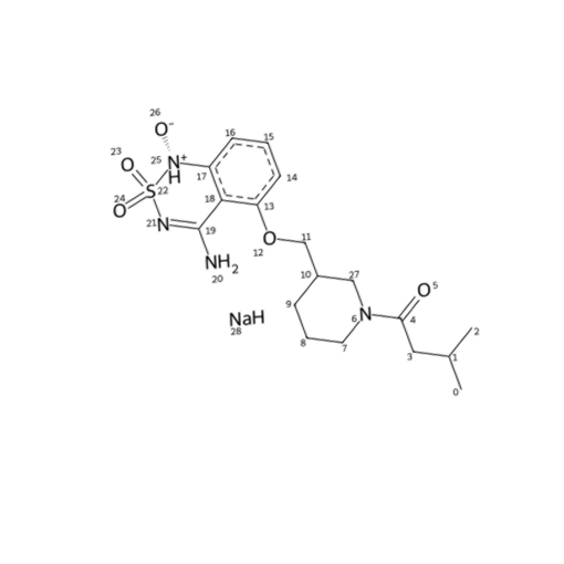 CC(C)CC(=O)N1CCCC(COc2cccc3c2C(N)=NS(=O)(=O)[N@@H+]3[O-])C1.[NaH]